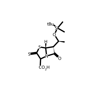 C[C@H](O[Si](C)(C)C(C)(C)C)[C@@H]1C(=O)N2C(C(=O)O)C(=S)S[C@H]12